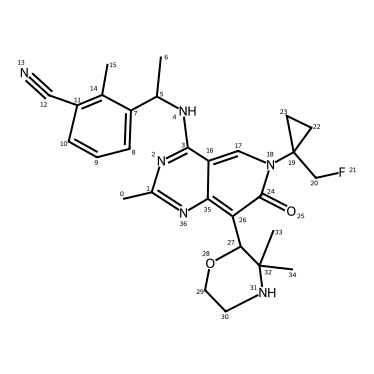 Cc1nc(NC(C)c2cccc(C#N)c2C)c2cn(C3(CF)CC3)c(=O)c(C3OCCNC3(C)C)c2n1